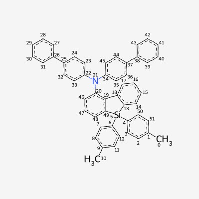 Cc1ccc([Si]2(c3ccc(C)cc3)c3ccccc3-c3c(N(c4ccc(-c5ccccc5)cc4)c4ccc(-c5ccccc5)cc4)cccc32)cc1